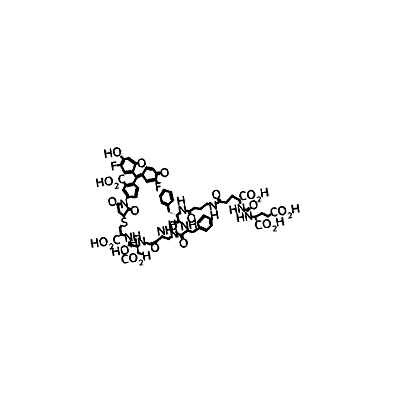 N[C@@H](CNC(=O)C(Cc1ccccc1)NC(=O)[C@H](Cc1ccccc1)NC(=O)CCCNC(=O)CC[C@H](NC(=O)N[C@@H](CCC(=O)O)C(=O)O)C(=O)O)C1OC1N[C@@H](CC(=O)O)C(O)N[C@@H](CSC1CC(=O)N(c2ccc(-c3c4cc(F)c(=O)cc-4oc4cc(O)c(F)cc34)c(C(=O)O)c2)C1=O)C(=O)O